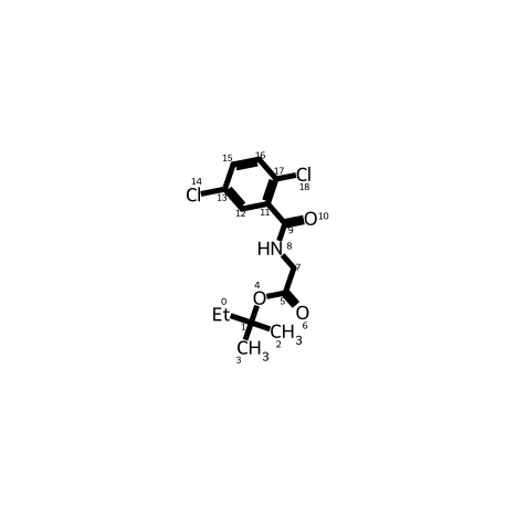 CCC(C)(C)OC(=O)CNC(=O)c1cc(Cl)ccc1Cl